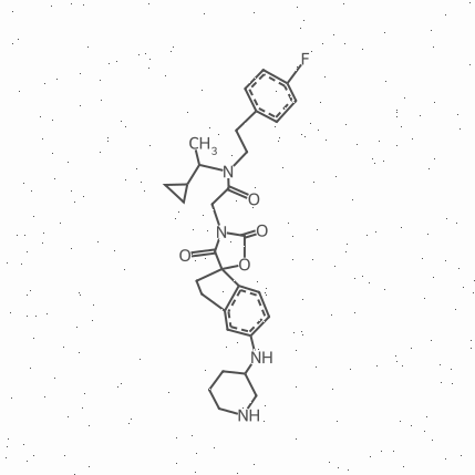 CC(C1CC1)N(CCc1ccc(F)cc1)C(=O)CN1C(=O)OC2(CCc3cc(NC4CCCNC4)ccc32)C1=O